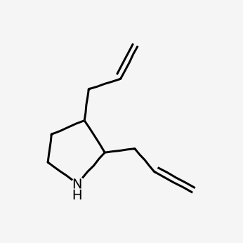 C=CCC1CCNC1CC=C